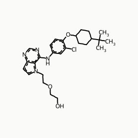 CC(C)(C)C1CCC(Oc2ccc(Nc3ncnc4ccn(CCOCCO)c34)cc2Cl)CC1